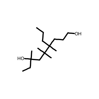 CCCC(C)(CCCO)C(C)(C)CC(C)(O)CC